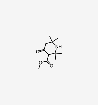 COC(=O)C1C(=O)CC(C)(C)NC1(C)C